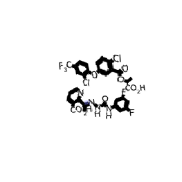 C/C(=N\NC(=O)Nc1cc(F)cc(F)c1)c1ncccc1C(=O)O.C[C@H](OC(=O)c1cc(Oc2ccc(C(F)(F)F)cc2Cl)ccc1Cl)C(=O)O